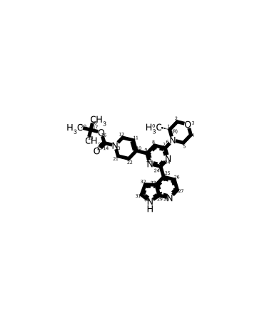 C[C@@H]1COCCN1c1cc(C2=CCN(C(=O)OC(C)(C)C)CC2)nc(-c2ccnc3[nH]ccc23)n1